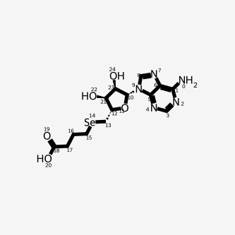 Nc1ncnc2c1ncn2[C@@H]1O[C@H](C[Se]CCCC(=O)O)[C@@H](O)[C@H]1O